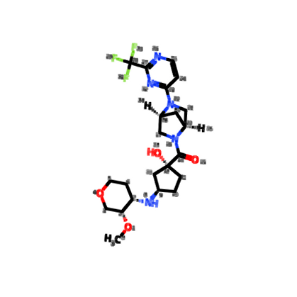 CO[C@@H]1COCC[C@@H]1N[C@@H]1CC[C@](O)(C(=O)N2C[C@@H]3C[C@H]2CN3c2ccnc(C(F)(F)F)n2)C1